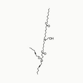 CCCCC#CCCOC(CCC(=O)OCCCCCCN(CCO)CCCCCCCC(=O)OCCCCCCCCC)OCCC#CCCCC